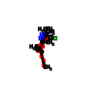 COCCOCCOCCOC(=O)OC(OC(=O)c1ccc(NC(=O)[C@@H]2NC(CC(C)(C)C)C(C#N)C2C2C#CC(Cl)=CC=C2)c(OC)c1)C(C)C